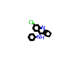 Clc1ccc2c(Nc3ccccc3)c3c(nc2c1)C1CCC3C1